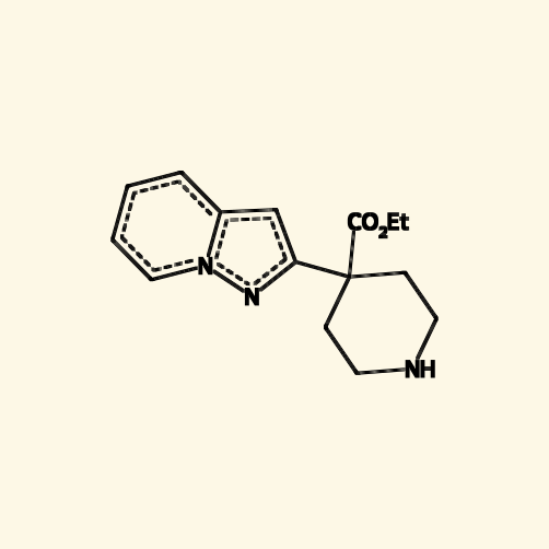 CCOC(=O)C1(c2cc3ccccn3n2)CCNCC1